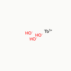 [OH-].[OH-].[OH-].[Tb+3]